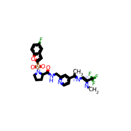 C=N/C(=C\N=C(/C)c1ccnc(CNC(=O)C2CCCN2S(=O)(=O)c2cc3cc(F)ccc3o2)c1)C(F)(F)F